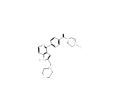 CC(C)N1CCN(C(=O)c2ccc(-c3nccc4[nH]c(CN5CCOCC5)cc34)cc2)CC1